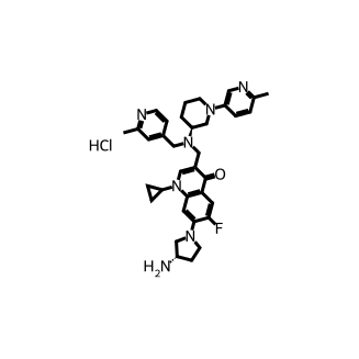 Cc1ccc(N2CCC[C@H](N(Cc3ccnc(C)c3)Cc3cn(C4CC4)c4cc(N5CC[C@H](N)C5)c(F)cc4c3=O)C2)cn1.Cl